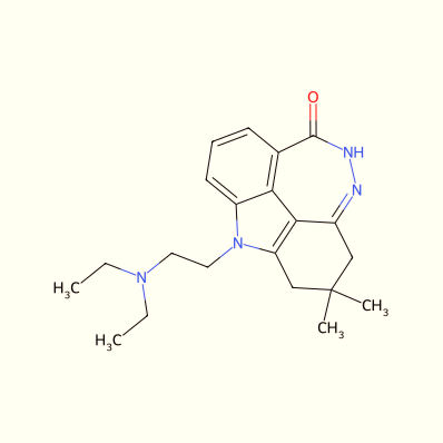 CCN(CC)CCn1c2c3c4c(cccc41)C(=O)NN=C3CC(C)(C)C2